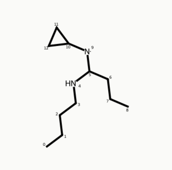 CCCCNC(CCC)[N]C1CC1